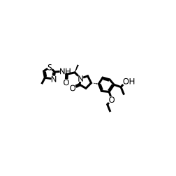 CCOc1cc([C@@H]2CC(=O)N([C@H](C)C(=O)Nc3nc(C)cs3)C2)ccc1C(C)O